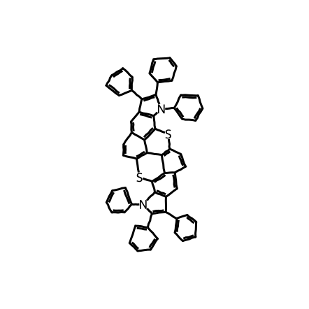 c1ccc(-c2c(-c3ccccc3)n(-c3ccccc3)c3c2cc2ccc4sc5c6c7c(ccc6cc6c(-c8ccccc8)c(-c8ccccc8)n(-c8ccccc8)c65)sc3c2c4-7)cc1